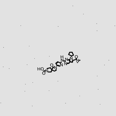 CN(C)C(=O)c1cc2cnc(Nc3ccc(N4CCC5(CCN(C(=O)O)CC5)C4=O)cn3)nc2n1C1CCCC1